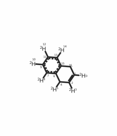 [2H]C1=C([2H])C([2H])c2c([2H])c([2H])c([2H])c([2H])c2[CH]1